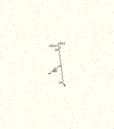 C#CC(=O)CCCCCCCN(CCCCCCCC(=O)OC(CCCCCCCC)CCCCCCCC)CCONCC=C